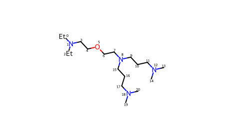 CCN(CC)CCOCCN(CCCN(C)C)CCCN(C)C